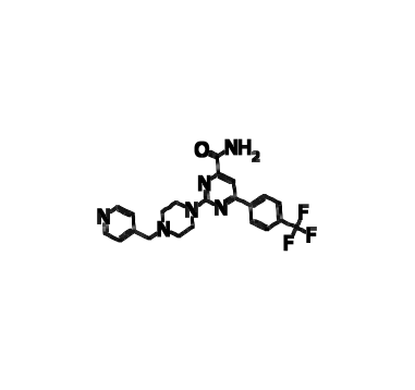 NC(=O)c1cc(-c2ccc(C(F)(F)F)cc2)nc(N2CCN(Cc3ccncc3)CC2)n1